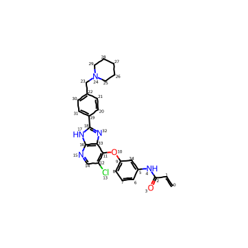 C=CC(=O)Nc1cccc(Oc2c(Cl)cnc3[nH]c(-c4ccc(CN5CCCCC5)cc4)nc23)c1